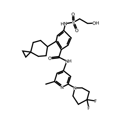 Cc1cc(NC(=O)c2ccc(NS(=O)(=O)CCO)cc2C2CCC3(CC2)CC3)cc(N2CCC(F)(F)CC2)n1